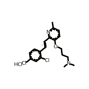 Cc1ccc(OCCCN(C)C)c(/C=C/c2ccc(Cl)cc2Cl)n1.Cl